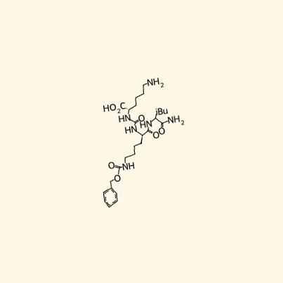 CCC(C)C(NC(=O)[C@@H](CCCCNC(=O)OCc1ccccc1)NC(=O)N[C@@H](CCCCN)C(=O)O)C(N)=O